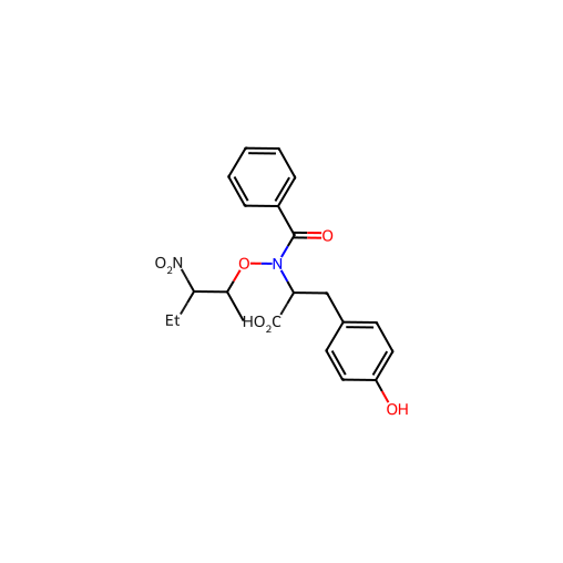 CCC(C(C)ON(C(=O)c1ccccc1)C(Cc1ccc(O)cc1)C(=O)O)[N+](=O)[O-]